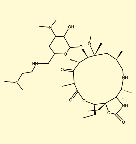 CC[C@H]1OC(=O)C(C)C(=O)[C@H](C)[C@@H](OC2OC(CNCCN(C)C)CC(N(C)C)C2O)[C@](C)(OC)C[C@@H](C)CN[C@H](C)[C@H]2NC(=O)O[C@@]21CC